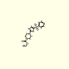 CC(C)(C)OC(=O)N1CCN(c2ncc(S(=O)(=O)c3ccncc3)s2)CC1